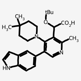 Cc1ncc(-c2ccc3[nH]ccc3c2)c(N2CCC(C)(C)CC2)c1C(OC(C)(C)C)C(=O)O